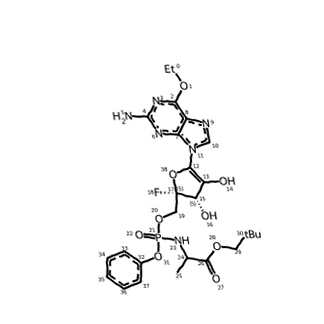 CCOc1nc(N)nc2c1ncn2C1=C(O)[C@H](O)[C@@](F)(COP(=O)(NC(C)C(=O)OCC(C)(C)C)Oc2ccccc2)O1